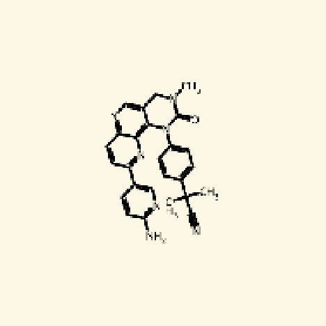 CN1Cc2cnc3ccc(-c4ccc(N)nc4)nc3c2N(c2ccc(C(C)(C)C#N)cc2)C1=O